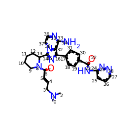 CN(C)C/C=C/C(=O)N1CCCCC1c1nc(-c2ccc(C(=O)Nc3cccnn3)cc2)c2c(N)nccn12